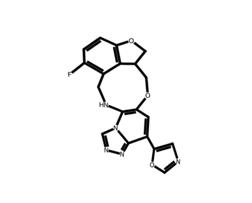 Fc1ccc2c3c1CNc1c(cc(-c4cnco4)c4nncn14)OCC3CO2